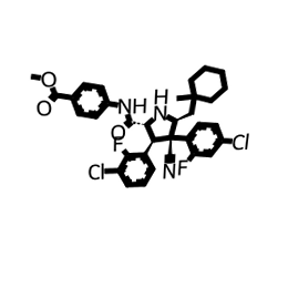 COC(=O)c1ccc(NC(=O)[C@@H]2N[C@@H](CC3(C)CCCCC3)[C@](C#N)(c3ccc(Cl)cc3F)[C@H]2c2cccc(Cl)c2F)cc1